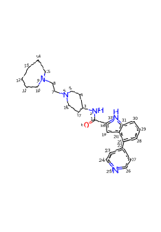 O=C(NC1CCN(CCN2CCCCCC2)CC1)c1cc2c(-c3ccncc3)cccc2[nH]1